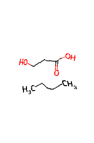 CCCC.O=C(O)CCO